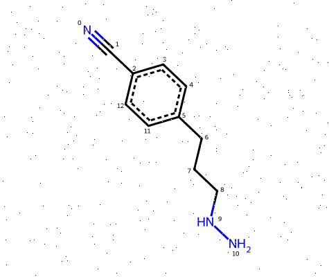 N#Cc1ccc(CCCNN)cc1